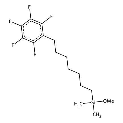 CO[Si](C)(C)CCCCCCCc1c(F)c(F)c(F)c(F)c1F